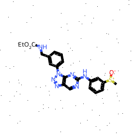 CCOC(=O)NCc1cccc(-n2nnc3cnc(Nc4cccc([S+](C)[O-])c4)nc32)c1